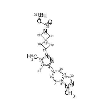 Cc1c(I)c(-c2ccc3c(cnn3C)c2)nn1C1CC2(C1)CN(C(=O)OC(C)(C)C)C2